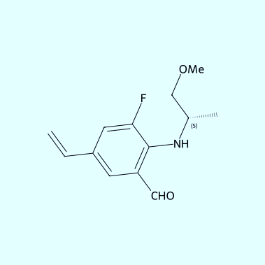 C=Cc1cc(F)c(N[C@@H](C)COC)c(C=O)c1